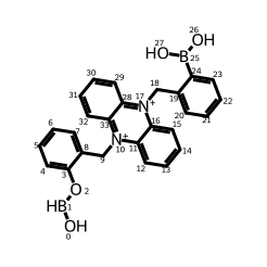 OBOc1ccccc1C[n+]1c2ccccc2[n+](Cc2ccccc2B(O)O)c2ccccc21